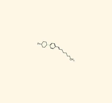 CCCCCCC=Cc1ccc([C@H]2CC[C@H](F)CC2)cc1